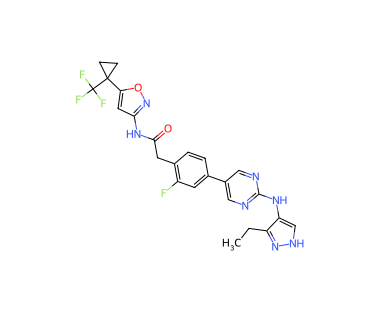 CCc1n[nH]cc1Nc1ncc(-c2ccc(CC(=O)Nc3cc(C4(C(F)(F)F)CC4)on3)c(F)c2)cn1